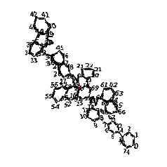 c1ccc(-c2ccc(-c3cccc(N(c4cccc(-c5ccccc5N(c5ccc6cc(-c7cccc8c7sc7ccccc78)ccc6c5)c5cccc6ccccc56)c4)c4cccc5ccccc45)c3)cc2)cc1